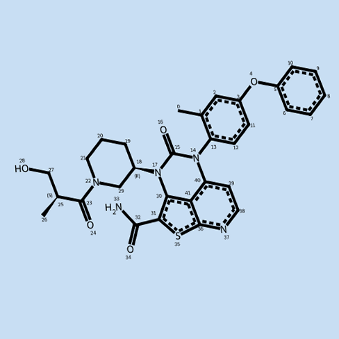 Cc1cc(Oc2ccccc2)ccc1N1C(=O)N([C@@H]2CCCN(C(=O)[C@@H](C)CO)C2)c2c(C(N)=O)sc3nccc1c23